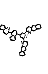 c1ccc2cc3nc(-c4cc(-c5ccc(-c6ccc7ccccc7n6)c6ccccc56)cc(-c5ccc6cc7ccccc7cc6n5)n4)ccc3cc2c1